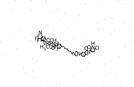 CC1(C)C(NC(=O)c2ccc(CCCCCCN3CCN(c4ccc5c(c4)C(=O)N([C@@H]4CCC(=O)NC4=O)C5)CC3)cc2)C(C)(C)C1Oc1ccc(C#N)c(C(F)(F)F)c1